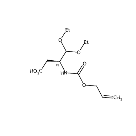 C=CCOC(=O)N[C@@H](CC(=O)O)C(OCC)OCC